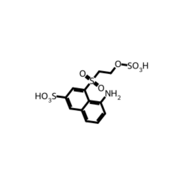 Nc1cccc2cc(S(=O)(=O)O)cc(S(=O)(=O)CCOS(=O)(=O)O)c12